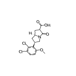 COc1ccc(Cl)c(Cl)c1[C@H]1C[C@H]2CC(C(=O)O)C(=O)N2C1